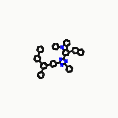 c1ccc(-c2cccc(-c3cc(-c4ccccc4)cc(-c4ccc(-c5nc(-c6ccccc6)nc(-c6cc(-c7ccc8ccccc8c7)c7c8ccccc8n(-c8ccccc8)c7c6)n5)cc4)c3)c2)cc1